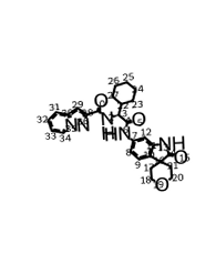 O=C(N[C@H](C(=O)Nc1ccc2c(c1)NC(=O)C21CCOCC1)C1CCCCC1)c1cc2ccccn2n1